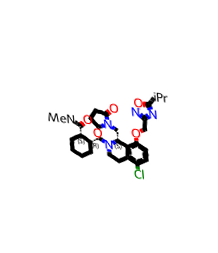 CNC(=O)[C@H]1CCCC[C@H]1C(=O)N1CCc2c(Cl)ccc(OCc3noc(C(C)C)n3)c2[C@H]1CN1CCCC1=O